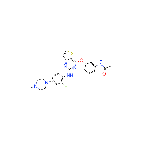 CC(=O)Nc1cccc(Oc2nc(Nc3ccc(N4CCN(C)CC4)cc3F)nc3ccsc23)c1